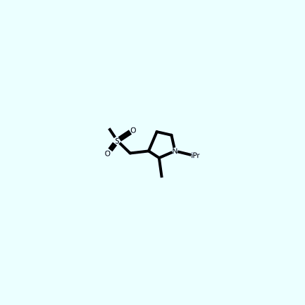 CC(C)N1CCC(CS(C)(=O)=O)C1C